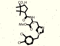 COC(=O)[C@H](Cc1cn(Cc2ccc(Cl)c(Cl)c2)cn1)NC(=O)C1CCC(C)(C(=O)O)C1(C)C